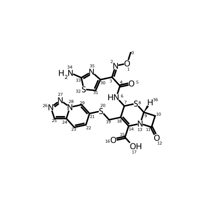 CO/N=C(\C(=O)NC1S[C@@H]2CC(=O)N2C(C(=O)O)=C1CSc1ccc2cnnn2c1)c1csc(N)n1